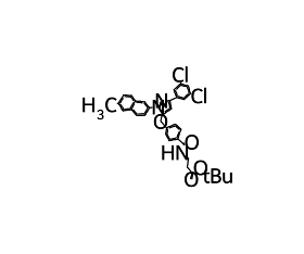 Cc1ccc2cc(-n3nc(-c4cc(Cl)cc(Cl)c4)cc3Oc3ccc(C(=O)NCCC(=O)OC(C)(C)C)cc3)ccc2c1